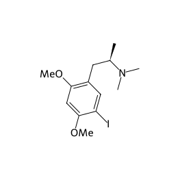 COc1cc(OC)c(C[C@@H](C)N(C)C)cc1I